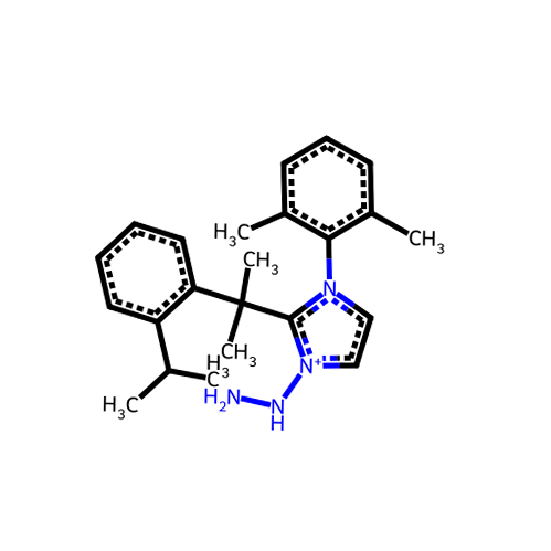 Cc1cccc(C)c1-n1cc[n+](NN)c1C(C)(C)c1ccccc1C(C)C